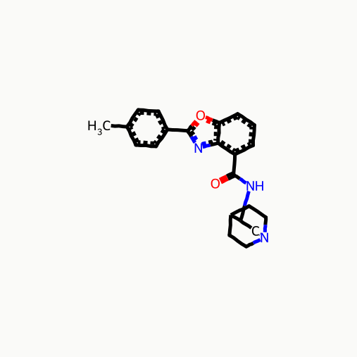 Cc1ccc(-c2nc3c(C(=O)NC4CN5CCC4CC5)cccc3o2)cc1